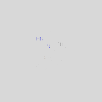 CC(N=C1CCCCN1)c1cccc2c1sc1ccccc12